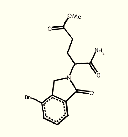 COC(=O)CCC(C(N)=O)N1Cc2c(Br)cccc2C1=O